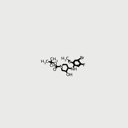 COc1cc(Br)c(F)cc1NC1CCN(C(=O)OC(C)(C)C)CC1O